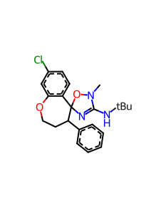 CN1OC2(N=C1NC(C)(C)C)c1ccc(Cl)cc1OCCC2c1ccccc1